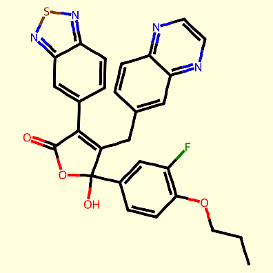 CCCOc1ccc(C2(O)OC(=O)C(c3ccc4nsnc4c3)=C2Cc2ccc3nccnc3c2)cc1F